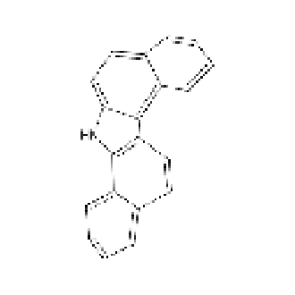 c1ccc2c(c1)ccc1c2[nH]c2ccc3ccccc3c21